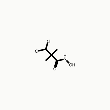 CC(C)(C(=O)NO)C(Cl)Cl